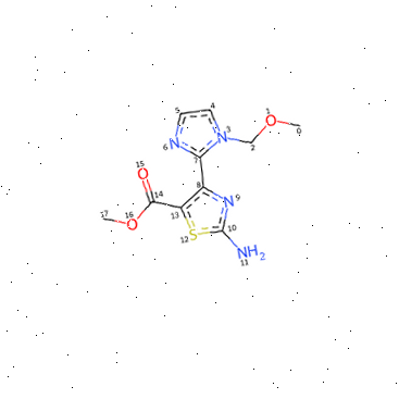 COCn1ccnc1-c1nc(N)sc1C(=O)OC